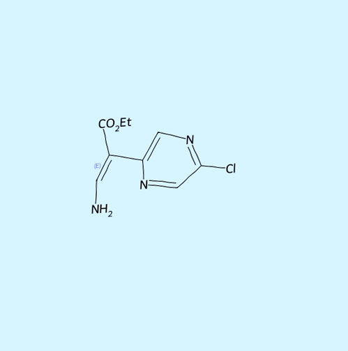 CCOC(=O)/C(=C/N)c1cnc(Cl)cn1